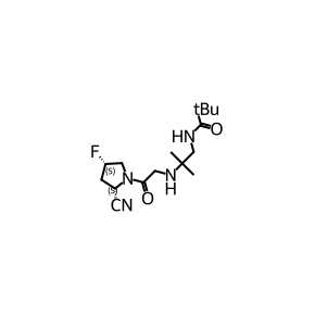 CC(C)(CNC(=O)C(C)(C)C)NCC(=O)N1C[C@@H](F)C[C@H]1C#N